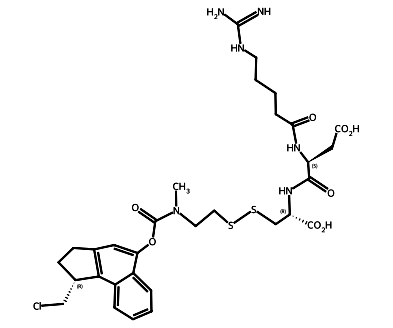 CN(CCSSC[C@H](NC(=O)[C@H](CC(=O)O)NC(=O)CCCCNC(=N)N)C(=O)O)C(=O)Oc1cc2c(c3ccccc13)[C@H](CCl)CC2